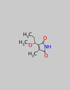 CCC(OC)C1=C(C)C(=O)NC1=O